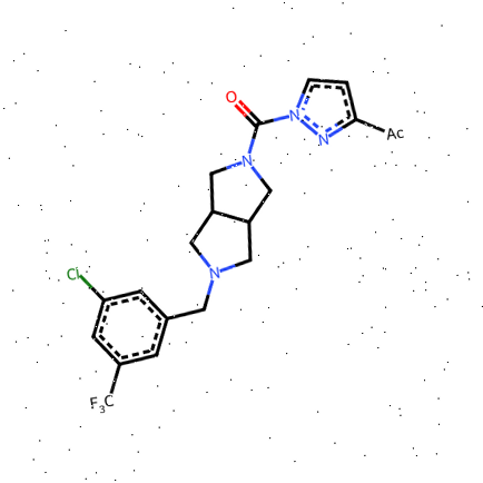 CC(=O)c1ccn(C(=O)N2CC3CN(Cc4cc(Cl)cc(C(F)(F)F)c4)CC3C2)n1